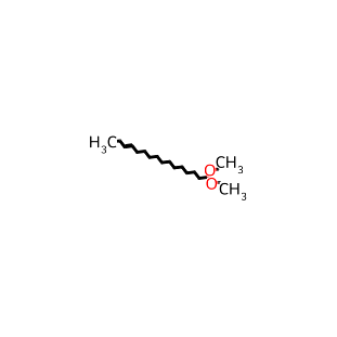 CCC=CCCCCCCCCCCCC(OCC)OCC